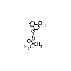 C=C(C)C(=O)OCCOc1ccc(C)c2ccccc12